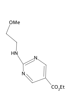 CCOC(=O)c1cnc(NCCOC)nc1